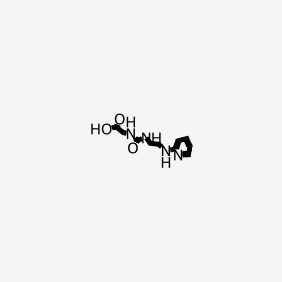 O=C(O)CNC(=O)NCCNc1ccccn1